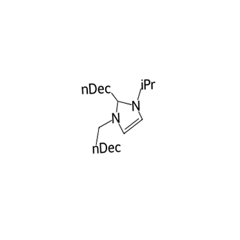 CCCCCCCCCCCN1C=CN(C(C)C)C1CCCCCCCCCC